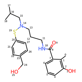 Cc1c(O)cccc1C(=O)NCCCN(CC(C)C)Sc1ccc(CO)cc1